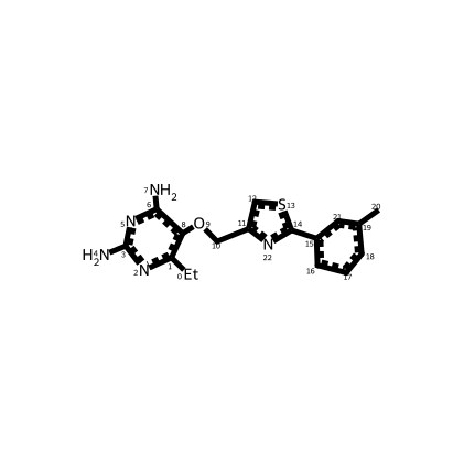 CCc1nc(N)nc(N)c1OCc1csc(-c2cccc(C)c2)n1